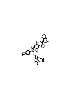 O=C(NC1CCOc2ccccc21)c1ccc2nc(-c3ccc(F)cc3)c(CCCC(F)(F)C(=O)O)nc2c1